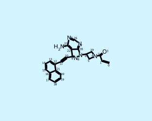 C=CC(=O)N1CC(n2nc(C#Cc3cccc4ccccc34)c3c(N)ncnc32)C1